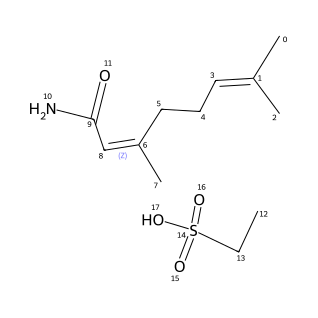 CC(C)=CCC/C(C)=C\C(N)=O.CCS(=O)(=O)O